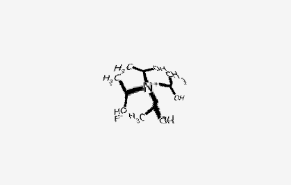 CC(O)[N+](C(C)O)(C(C)O)C(C)O.[F-]